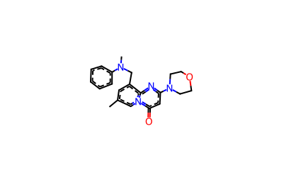 Cc1cc(CN(C)c2ccccc2)c2nc(N3CCOCC3)cc(=O)n2c1